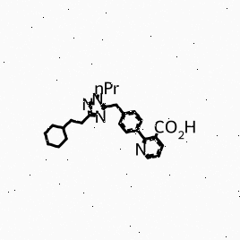 CCCn1nc(CCC2CCCCC2)nc1Cc1ccc(-c2ncccc2C(=O)O)cc1